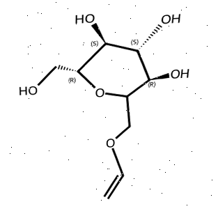 C=COCC1O[C@H](CO)[C@@H](O)[C@H](O)[C@H]1O